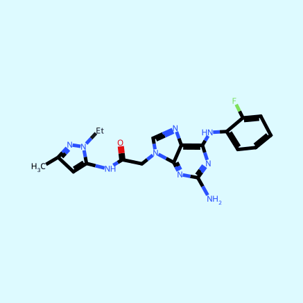 CCn1nc(C)cc1NC(=O)Cn1cnc2c(Nc3ccccc3F)nc(N)nc21